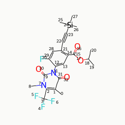 Cc1c(C(F)(F)F)n(C)c(=O)n(-c2cc(C(=O)OC(C)C)c(C#C[Si](C)(C)C)cc2F)c1=O